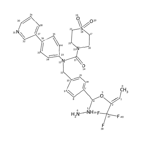 C/C=C(\OC(NN)c1ccc(CN(C(=O)N2CCS(=O)(=O)CC2)c2ccc(-c3cccnc3)cc2)cc1)C(F)(F)F